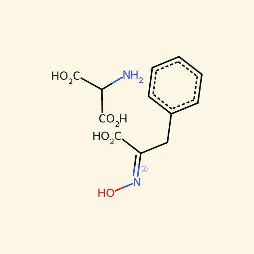 NC(C(=O)O)C(=O)O.O=C(O)/C(Cc1ccccc1)=N\O